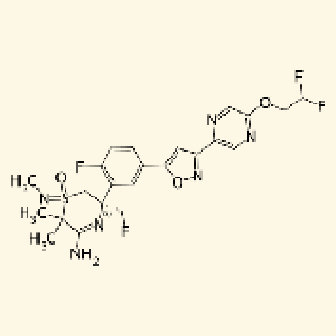 CN=S1(=O)C[C@@](CF)(c2cc(-c3cc(-c4cnc(OCC(F)F)cn4)no3)ccc2F)N=C(N)C1(C)C